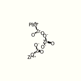 [O]=[Zr]([O-])[O-].[O]=[Zr]([O-])[O-].[O]=[Zr]([O-])[O-].[Pb+2].[Zr+4]